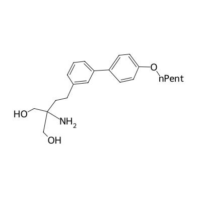 CCCCCOc1ccc(-c2cccc(CCC(N)(CO)CO)c2)cc1